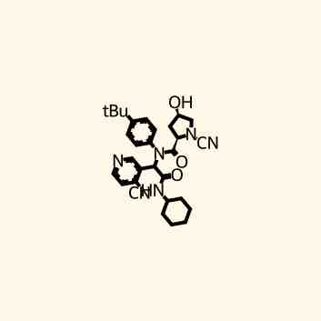 CC(C)(C)c1ccc(N(C(=O)[C@H]2C[C@@H](O)CN2C#N)C(C(=O)NC2CCCCC2)c2cnccc2C#N)cc1